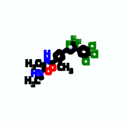 CCNC(=O)[C@@H](C)NC(=O)c1ccc(/C=C/C(c2cc(Cl)c(Cl)c(Cl)c2)C(F)(F)F)cc1C